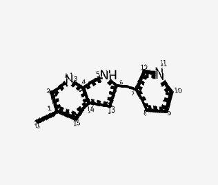 Cc1cnc2[nH]c(-c3cccnc3)cc2c1